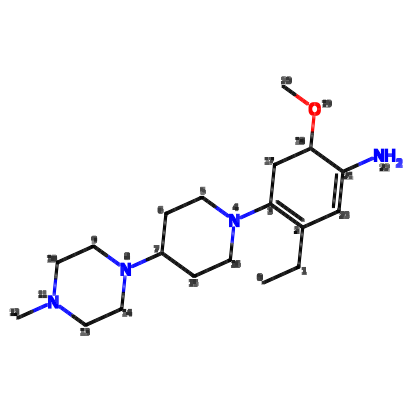 CCC1=C(N2CCC(N3CCN(C)CC3)CC2)CC(OC)C(N)=C1